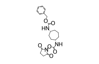 O=C(N[C@@H]1CCC[C@H](NC(=O)ON2C(=O)CCC2=O)CC1)OCc1ccccc1